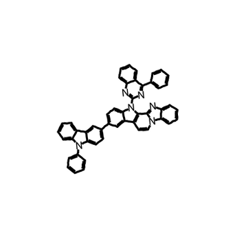 c1ccc(-c2nc(-n3c4ccc(-c5ccc6c(c5)c5ccccc5n6-c5ccccc5)cc4c4ccn5c6ccccc6nc5c43)nc3ccccc23)cc1